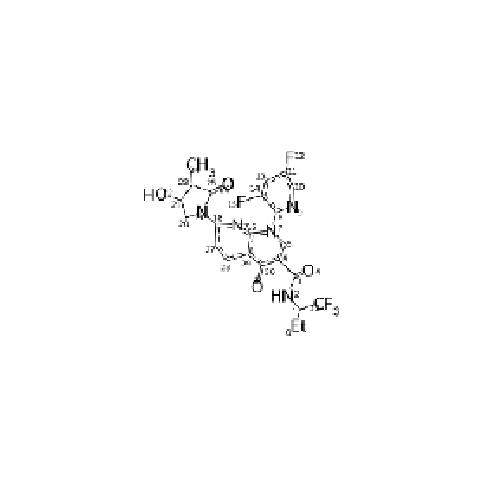 CCC(NC(=O)c1cn(-c2ncc(F)cc2F)c2nc(N3CC(O)C(C)C3=O)ccc2c1=O)C(F)(F)F